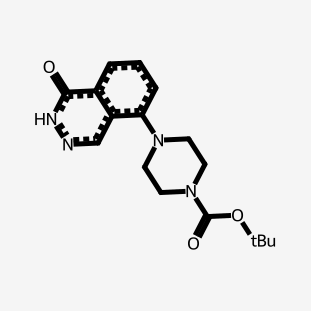 CC(C)(C)OC(=O)N1CCN(c2cccc3c(=O)[nH]ncc23)CC1